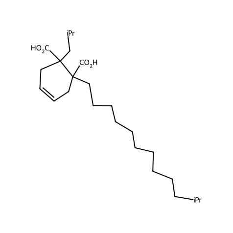 CC(C)CCCCCCCCCCC1(C(=O)O)CC=CCC1(CC(C)C)C(=O)O